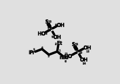 CCCCC(CC)CCC(C)C.OP(O)(O)=S.OP(O)(O)=S